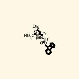 CCSCCC(NC(=O)C(=O)O)C(=O)NNC(=O)OCC1c2ccccc2-c2ccccc21